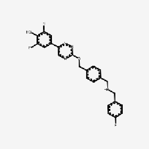 Oc1c(Cl)cc(-c2cnc(OCc3ccc(CNCc4ccc(F)cc4)cc3)nn2)cc1Cl